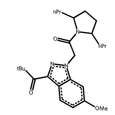 CCCC1CCC(CCC)N1C(=O)Cn1nc(C(=O)C(C)(C)C)c2ccc(OC)cc21